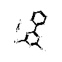 CCO.Nc1nc(N)nc(-c2ccccc2)n1